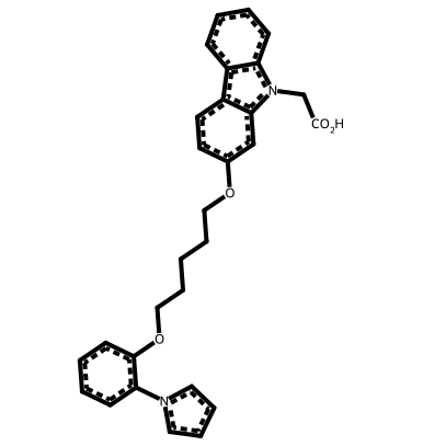 O=C(O)Cn1c2ccccc2c2ccc(OCCCCCOc3ccccc3-n3cccc3)cc21